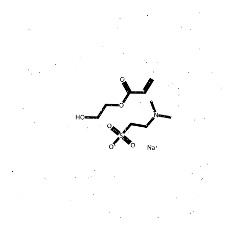 C=CC(=O)OCCO.CN(C)CCS(=O)(=O)[O-].[Na+]